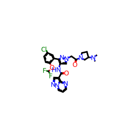 CN(C)C1CCN(C(=O)Cn2cc(NC(=O)c3cnn4cccnc34)c(-c3cc(Cl)ccc3OC(F)F)n2)C1